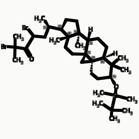 C[C@H](CC(Br)C(=O)C(C)(C)Br)[C@H]1CC[C@@]2(C)[C@@H]3CC[C@H]4C(C)(C)[C@@H](O[Si](C)(C)C(C)(C)C)CC[C@@]45C[C@@]35CC[C@]12C